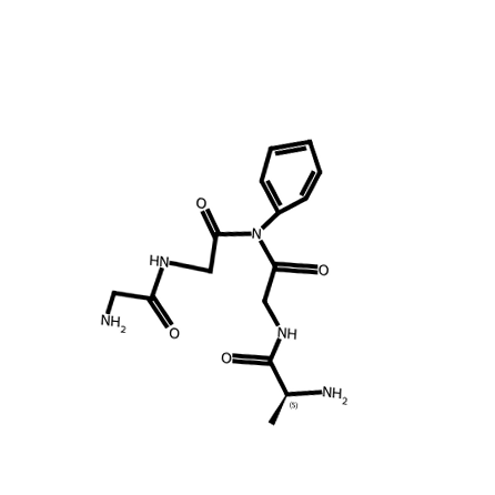 C[C@H](N)C(=O)NCC(=O)N(C(=O)CNC(=O)CN)c1ccccc1